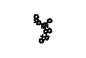 CC1(C)c2ccccc2-c2cccc(-c3ccc(-c4nc(-c5ccccc5)cc(-c5ccc6sc7ccccc7c6c5)n4)c4ccccc34)c21